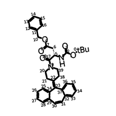 CC(C)(C)OC(=O)N[C@@H](CC(=O)OCc1ccccc1)C(=O)N1CCC(=C2c3ccccc3C=Cc3ccccc32)CC1